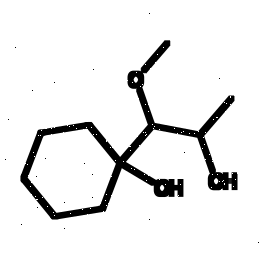 COC(C(C)O)C1(O)CCCCC1